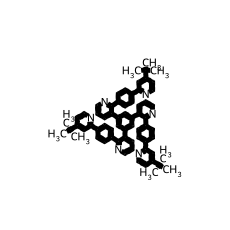 CC(C)(C)c1ccnc(-c2ccc(-c3ncccc3-c3cc(-c4cccnc4-c4ccc(-c5cc(C(C)(C)C)ccn5)cc4)cc(-c4cccnc4-c4ccc(-c5cc(C(C)(C)C)ccn5)cc4)c3)cc2)c1